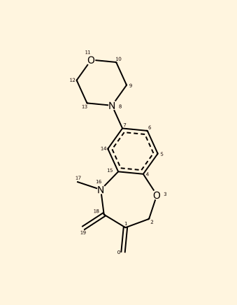 C=C1COc2ccc(N3CCOCC3)cc2N(C)C1=C